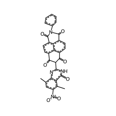 Cc1cc([N+](=O)[O-])c(C)c2c(=O)[nH]c(C3C(=O)c4ccc5c6c(ccc(c46)C3=O)C(=O)N(c3ccccc3)C5=O)nc12